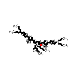 CCCCC(CC)C[Si]1(CC(CC)CCCC)c2cc(-c3cnc(-c4cc5sc(C(CCCC)CCCC)cc5s4)c4nsnc34)sc2-c2sc(-c3cnc(-c4cc5sc(N(CCCC)CCCC)cc5s4)c4nsnc34)cc21